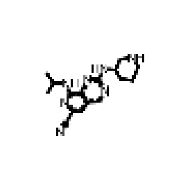 CC(C)Nc1nc(C#N)cc2cnc(NC3CCCNC3)nc12